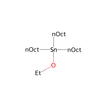 CCCCCCC[CH2][Sn]([CH2]CCCCCCC)([CH2]CCCCCCC)[O]CC